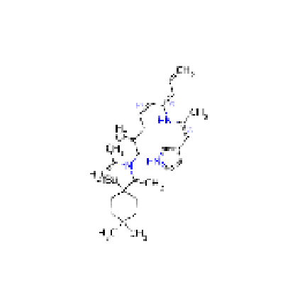 C=C/C=C(\C=C/CC(=C)CN(C(=C)C)C(=C)C1(C(C)CC)CCC(C)(C)CC1)N/C(C)=C\c1cc[nH]c1